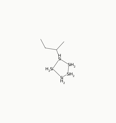 CCC(C)[SiH]1[SiH2][SiH2][SiH2][SiH2]1